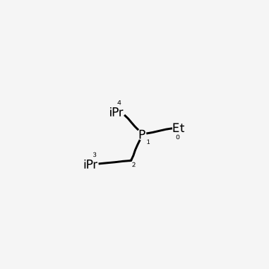 CCP(CC(C)C)C(C)C